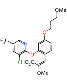 COCCCOc1ccc(C=C(OC)C(=O)O)c(Oc2ncc(C(F)(F)F)cc2Cl)c1